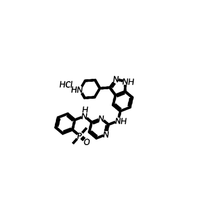 CP(C)(=O)c1ccccc1Nc1ccnc(Nc2ccc3[nH]nc(C4CCNCC4)c3c2)n1.Cl